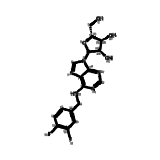 OC[C@H]1OC(n2cnc3c(NCc4ccc(F)c(F)c4)ncnc32)[C@H](O)[C@@H]1O